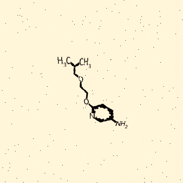 CC(C)COCCOc1ccc(N)cn1